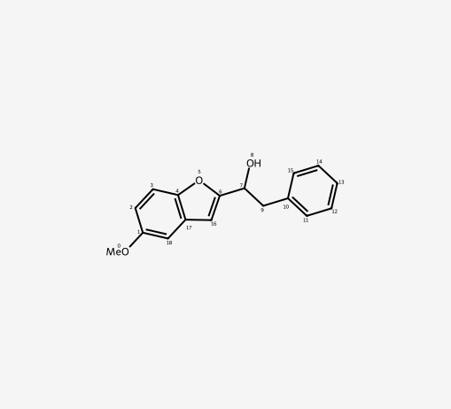 COc1ccc2oc(C(O)Cc3ccccc3)cc2c1